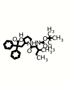 CCC(C)C(NC(=O)OC(C)(C)C)C(=O)N1CCCC1CC(C(=O)O)(c1ccccc1)c1ccccc1